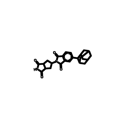 O=C1NC(=O)C2CC(N3C(=O)c4ccc(C5C6CC7CC(C6)CC5C7)cc4C3=O)CC12